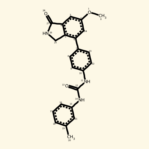 COc1cc2c(c(-c3ccc(NC(=O)Nc4cccc(C)c4)cc3)c1)CNC2=O